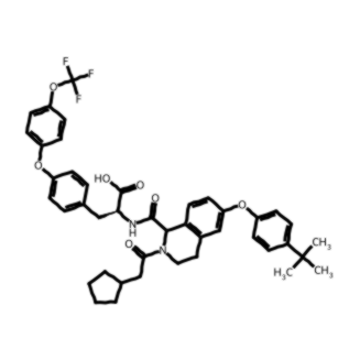 CC(C)(C)c1ccc(Oc2ccc3c(c2)CCN(C(=O)CC2CCCC2)C3C(=O)N[C@@H](Cc2ccc(Oc3ccc(OC(F)(F)F)cc3)cc2)C(=O)O)cc1